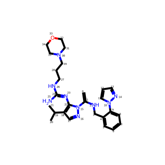 C=C(NCc1ccccc1-n1cccn1)n1ncc(C(C)C)c1/N=C(\N)NCCCN1CCOCC1